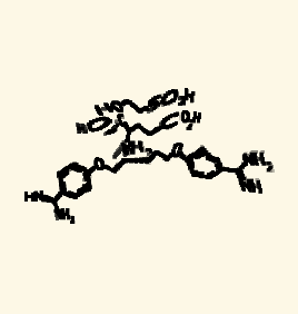 N=C(N)c1ccc(OCCCCCOc2ccc(C(=N)N)cc2)cc1.NC(CCC(=O)O)C(=O)O.O=S(=O)(O)CCO